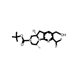 C[C@@H]1CN(C(=O)OC(C)(C)C)C[C@H]2Cc3cc(CO)c(C(F)F)nc3N21